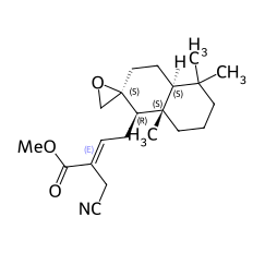 COC(=O)/C(=C/C[C@H]1[C@@]2(CC[C@H]3C(C)(C)CCC[C@@]31C)CO2)CC#N